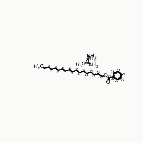 CCCCCCCCCCCCCCCCCCOC(=O)c1ccccc1.CN(C)C.N